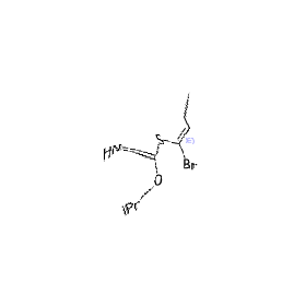 C/C=C(/Br)SC(=N)OC(C)C